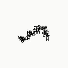 Cn1c(-c2cn(-c3cc4[nH]c(C(=O)N5CCOCC5)cc4cn3)nc2C(F)(F)F)cnc1C(=O)Nc1ccc(C(=O)N2CCN(C(=O)C3CC[N+](CC(=O)O)(CC4CNC4)CC3)CC2)c(Cl)c1